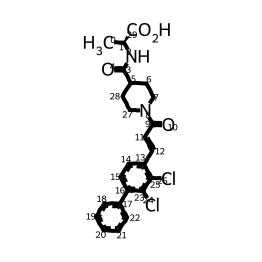 C[C@H](NC(=O)C1CCN(C(=O)/C=C/c2ccc(-c3ccccc3)c(Cl)c2Cl)CC1)C(=O)O